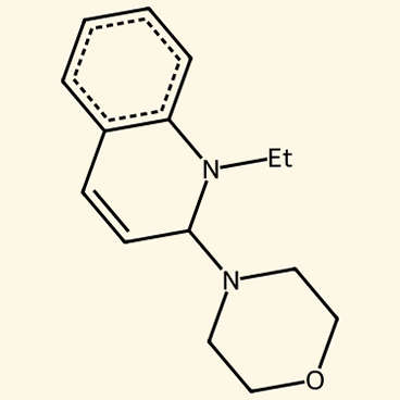 CCN1c2ccccc2C=CC1N1CCOCC1